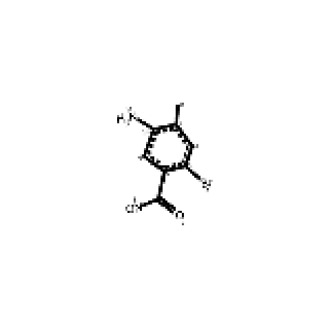 Cc1cc(Br)c(C(=O)N=O)cc1N